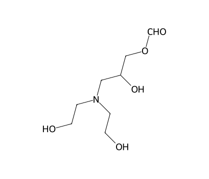 O=COCC(O)CN(CCO)CCO